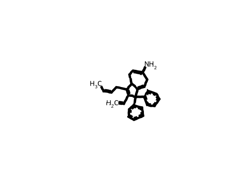 C=CC1=C(C/C=C\C)C2CC=C(N)CC=C2C1(c1ccccc1)c1ccccc1